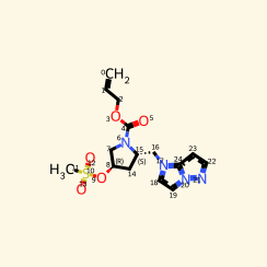 C=CCOC(=O)N1C[C@H](OS(C)(=O)=O)C[C@H]1Cn1ccn2nccc12